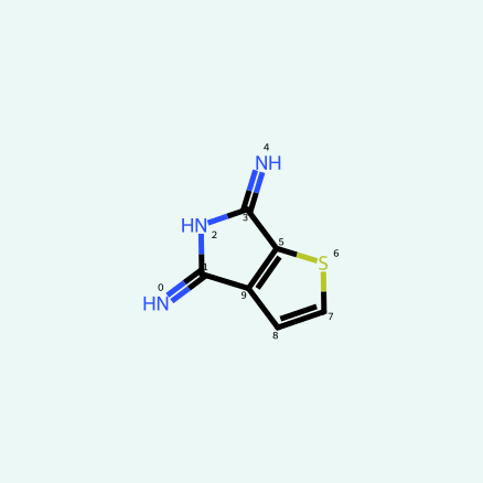 N=C1NC(=N)c2sccc21